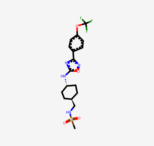 CS(=O)(=O)NC[C@H]1CC[C@H](Nc2nc(-c3ccc(OC(F)(F)F)cc3)no2)CC1